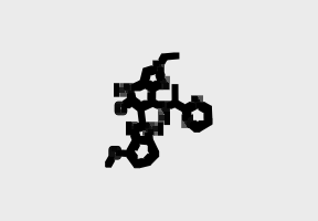 CCn1cc2[nH]c(=O)c(-c3nc4c(OC)cccc4[nH]3)c(NC(C)c3ncccn3)c2n1